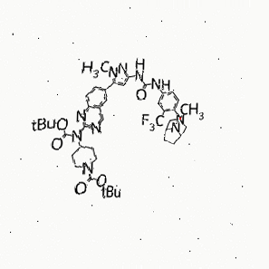 CN1CC2CCC(C1)N2Cc1ccc(NC(=O)Nc2cc(-c3ccc4nc(N(C(=O)OC(C)(C)C)C5CCN(C(=O)OC(C)(C)C)CC5)ncc4c3)n(C)n2)cc1C(F)(F)F